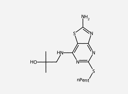 CCCCCSc1nc(NCC(C)(C)O)c2sc(N)nc2n1